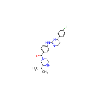 CC(C)[C@@H]1CN(C(=O)c2ccc(Nc3nccc(-c4ccc(Cl)cc4)n3)cc2)CCN1